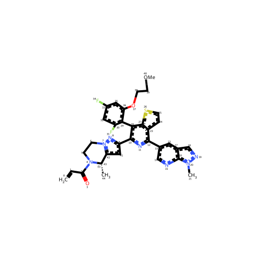 C=CC(=O)N1CCn2nc(-c3nc(-c4cnc5c(cnn5C)c4)c4ccsc4c3-c3c(F)cc(F)cc3OCCOC)cc2[C@@H]1C